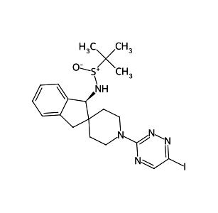 CC(C)(C)[S+]([O-])N[C@@H]1c2ccccc2CC12CCN(c1ncc(I)nn1)CC2